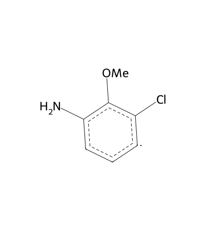 COc1c(Cl)[c]ccc1N